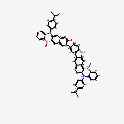 COc1ccccc1N(c1ccc(C(C)C)cc1)c1ccc2cc3c(cc2c1)oc1cc2oc4cc5cc(N(c6ccc(C(C)C)cc6)c6ccccc6OC)ccc5cc4c2cc13